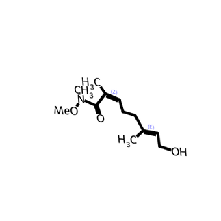 CON(C)C(=O)/C(C)=C\CC/C(C)=C/CO